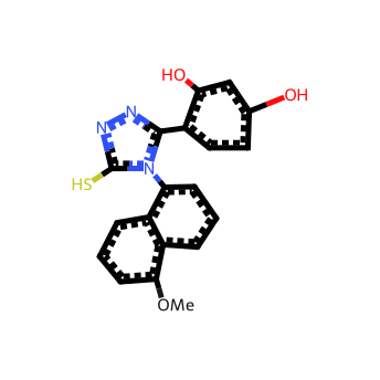 COc1cccc2c(-n3c(S)nnc3-c3ccc(O)cc3O)cccc12